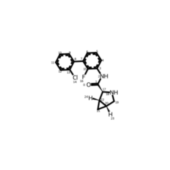 O=C(Nc1cccc(-c2ccccc2Cl)c1F)[C@H]1NC[C@@H]2C[C@@H]21